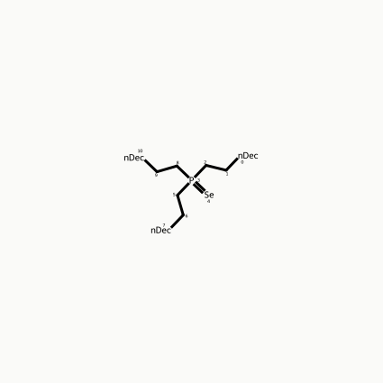 CCCCCCCCCCCCP(=[Se])(CCCCCCCCCCCC)CCCCCCCCCCCC